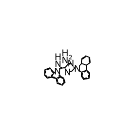 N=C(C1=NCC(N2c3ccccc3C3C=CC=CC32)N=C1N)n1c2ccccc2c2ccccc21